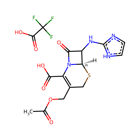 CC(=O)OCC1=C(C(=O)O)N2C(=O)C(Nc3ncc[nH]3)[C@H]2SC1.O=C(O)C(F)(F)F